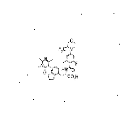 Cc1cc(N2CCOC[C@@H]2C(F)(F)F)cc(F)c1C(=O)N[C@@H](Cc1ccc(-c2c(C)nc(C)n(C)c2=O)c2c1CCC2)C(=O)O